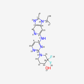 Cc1nc2cnc(Nc3ccnc(N4CC[C@@H](O)C(F)(F)C4)n3)cc2n1C(C)C